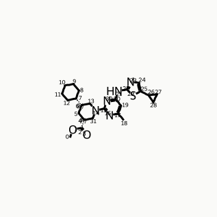 COC(=O)[C@@H]1C[C@H](C2CCCCC2)CN(c2nc(C)cc(Nc3ncc(C4CC4)s3)n2)C1